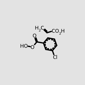 C=CC(=O)O.O=C(OO)c1cccc(Cl)c1